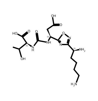 CC(O)[C@H](NC(=O)N[C@@H](CC(=O)O)c1nc([C@@H](N)CCCCN)no1)C(=O)O